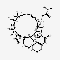 CN(C)C(=O)CO[C@@H]1C=CCOC(C)(C)C(=O)NS(=O)(=O)c2ccc3c(c2)N(C[C@@H]2CC[C@H]21)C[C@@]1(CCCc2cc(Cl)ccc21)CO3